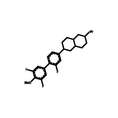 CCCC1CCC2CC(c3ccc(-c4cc(F)c(OC)c(F)c4)c(F)c3)CCC2C1